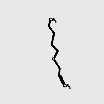 C=C[CH]OCCCCC